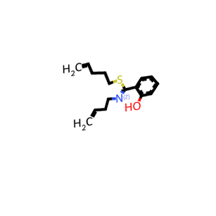 C=CCCCS/C(=N\CCC=C)c1ccccc1O